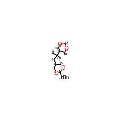 CC(C)(C)C1OCC(CC(C)(C)C2COCOC2)CO1